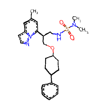 Cc1cc(C(CNS(=O)(=O)N(C)C)COC2CCC(c3ccccc3)CC2)n2nccc2c1